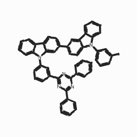 Cc1cccc(-n2c3ccccc3c3cc(-c4ccc5c6ccccc6n(-c6cccc(-c7nc(-c8ccccc8)nc(-c8ccccc8)n7)c6)c5c4)ccc32)c1